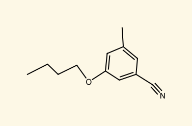 CCCCOc1cc(C)cc(C#N)c1